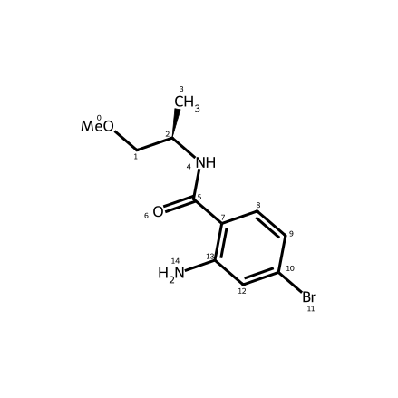 COC[C@@H](C)NC(=O)c1ccc(Br)cc1N